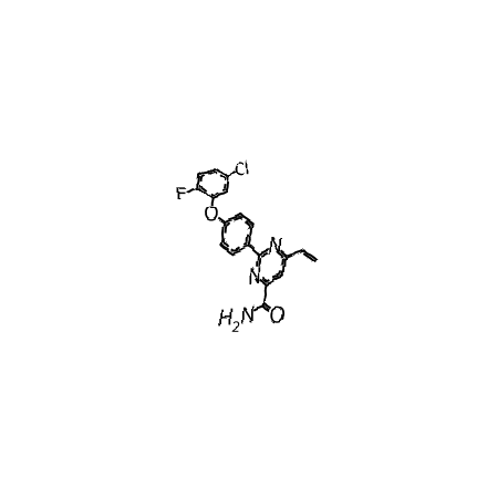 C=Cc1cc(C(N)=O)nc(-c2ccc(Oc3cc(Cl)ccc3F)cc2)n1